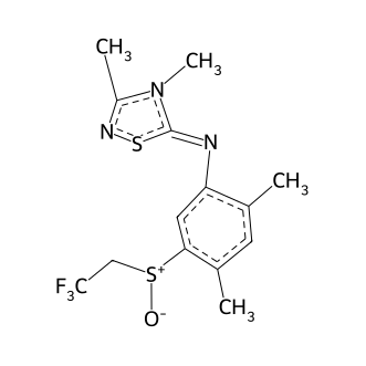 Cc1cc(C)c([S+]([O-])CC(F)(F)F)cc1N=c1snc(C)n1C